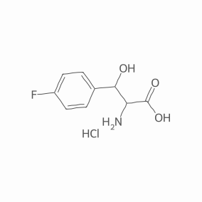 Cl.NC(C(=O)O)C(O)c1ccc(F)cc1